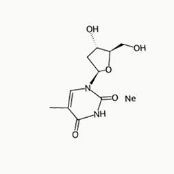 Cc1cn([C@H]2C[C@H](O)[C@@H](CO)O2)c(=O)[nH]c1=O.[Ne]